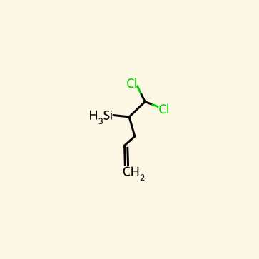 C=CCC([SiH3])C(Cl)Cl